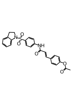 CC(=O)Oc1ccc(/C=C/C(=O)Nc2ccc(S(=O)(=O)N3CCc4ccccc43)cc2)cc1